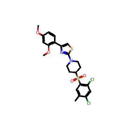 COc1ccc(-c2csc(N3CCC(S(=O)(=O)c4cc(C)c(Cl)cc4Cl)CC3)n2)c(OC)c1